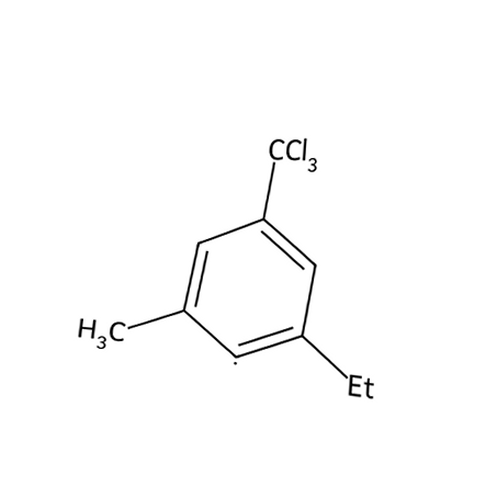 CCc1[c]c(C)cc(C(Cl)(Cl)Cl)c1